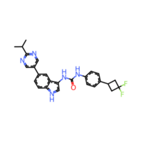 CC(C)c1ncc(-c2ccc3[nH]cc(NC(=O)Nc4ccc(C5CC(F)(F)C5)cc4)c3c2)cn1